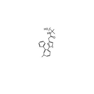 CC1C=CC=C(c2nc(CC(=O)NC(C)(C)C(=O)O)cs2)C(c2ccccc2)=C1